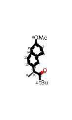 COc1ccc2cc([C@H](C)C(=O)C(C)(C)C)ccc2c1